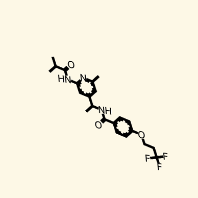 Cc1cc(C(C)NC(=O)c2ccc(OCCC(F)(F)F)cc2)cc(NC(=O)C(C)C)n1